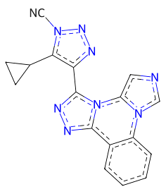 N#Cn1nnc(-c2nnc3c4ccccc4n4cncc4n23)c1C1CC1